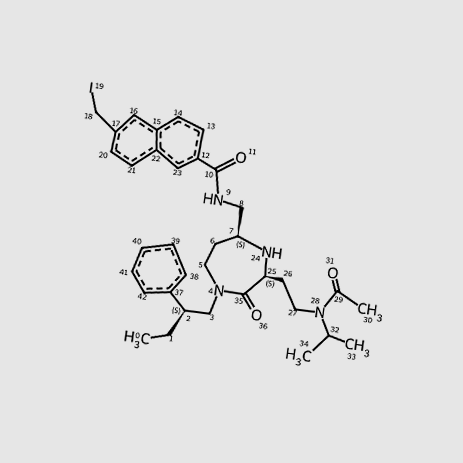 CC[C@H](CN1CC[C@@H](CNC(=O)c2ccc3cc(CI)ccc3c2)N[C@@H](CCN(C(C)=O)C(C)C)C1=O)c1ccccc1